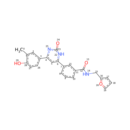 Cc1cc(-c2cc(-c3cccc(C(=O)NCc4ccco4)c3)[nH]c(=O)n2)ccc1O